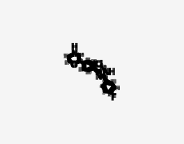 Cl.Fc1ccc(-c2nc(-c3ccc([C@@H]4CNCCO4)cc3)n[nH]2)cc1